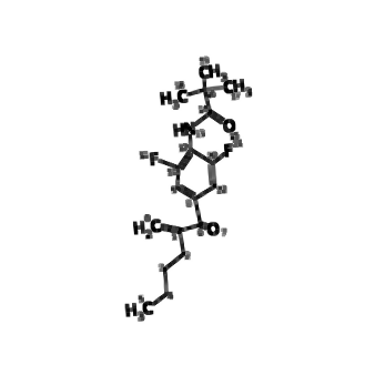 C=C(CCCC)C(=O)c1cc(F)c(NC(=O)C(C)(C)C)c(F)c1